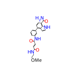 COCCNC(=O)C=CC(=O)Nc1cccc(-c2ccc(C(N)=O)c3[nH]ccc23)c1